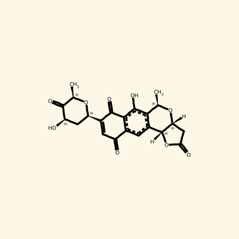 C[C@H]1O[C@@H](C2=CC(=O)c3cc4c(c(O)c3C2=O)[C@@H](C)O[C@@H]2CC(=O)O[C@H]42)C[C@@H](O)C1=O